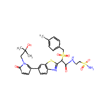 CC(C)(O)Cn1cc(-c2ccc3nc(C(C(=O)NCCS(N)(=O)=O)S(=O)(=O)Cc4ccc(C(F)(F)F)cc4)sc3c2)ccc1=O